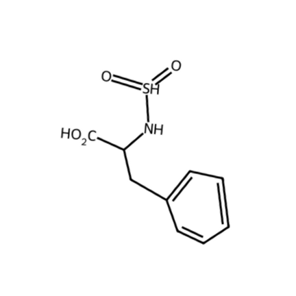 O=C(O)C(Cc1ccccc1)N[SH](=O)=O